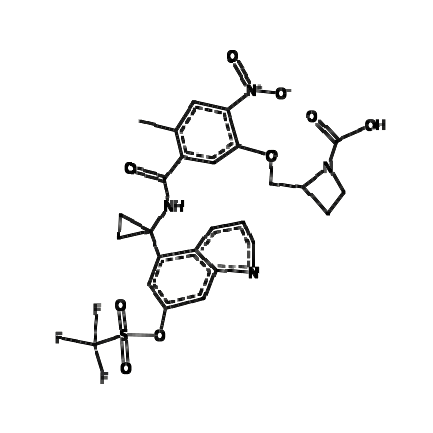 Cc1cc([N+](=O)[O-])c(OCC2CCN2C(=O)O)cc1C(=O)NC1(c2cc(OS(=O)(=O)C(F)(F)F)cc3ncccc23)CC1